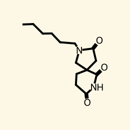 CCCCCCN1CC2(CCC(=O)NC2=O)CC1=O